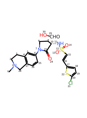 CN1CCc2cc(N3CC[C@H](NS(=O)(=O)C=Cc4ccc(Cl)s4)C3=O)ccc2C1.O=CO